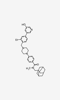 CCc1cc(-c2cncc(O)c2)ccc1CN1CCN(c2ccc(C(=O)N(C)CC34CC5CC(CC(C5)C3)C4)cc2)CC1